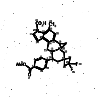 COC(=O)c1ccc([C@@H]2CC3(CCN2Cc2c(C4CC4)cc(C)c4c2ccn4C(=O)O)CC(F)(F)C3)cc1